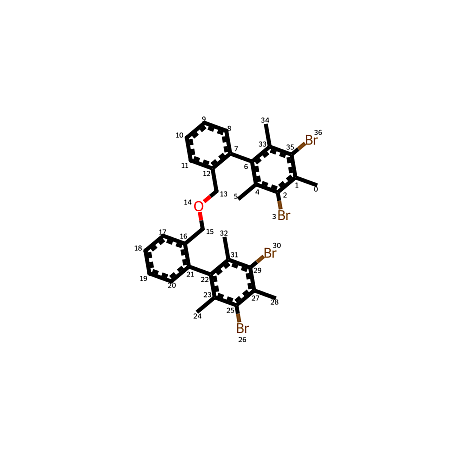 Cc1c(Br)c(C)c(-c2ccccc2COCc2ccccc2-c2c(C)c(Br)c(C)c(Br)c2C)c(C)c1Br